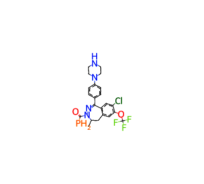 CC1Cc2cc(OC(F)(F)F)c(Cl)cc2C(c2ccc(N3CCNCC3)cc2)=NN1C(=O)P